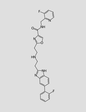 O=C(NCc1ncccc1F)c1coc(CCNCCc2nc3cc(-c4ccccc4F)ccc3[nH]2)n1